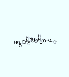 COCCOCCOCC(=O)Nc1ccc(CC(N)C(=O)Nc2ccc(C(=O)O)cc2)cc1